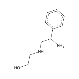 NC(CNCCO)c1ccccc1